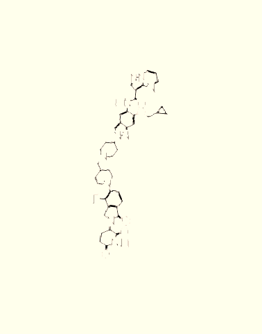 O=C1CCC(N2Cc3c(ccc(N4CCC(CN5CCC(n6cc7cc(NC(=O)c8cnn9cccnc89)c(OCC8CC8)cc7n6)CC5)CC4)c3F)C2=O)C(=O)N1